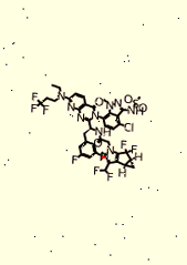 CCN(CCC(F)(F)F)c1ccc2c(=O)n(-c3ccc(Cl)c4c(NS(C)(=O)=O)nn(C)c34)c([C@H](Cc3cc(F)cc(F)c3)NC(=O)Cn3nc(C(F)F)c4c3C(F)(F)[C@@H]3C[C@H]43)nc2n1